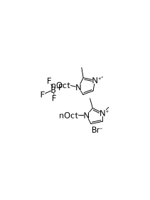 CCCCCCCCn1cc[n+](C)c1C.CCCCCCCCn1cc[n+](C)c1C.F[B-](F)(F)F.[Br-]